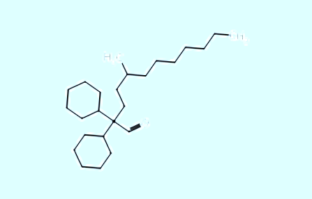 CCCCCCCC(C)CCC(C=O)(C1CCCCC1)C1CCCCC1